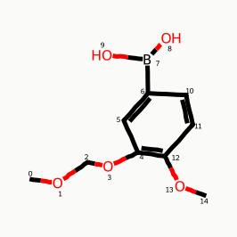 COCOc1cc(B(O)O)ccc1OC